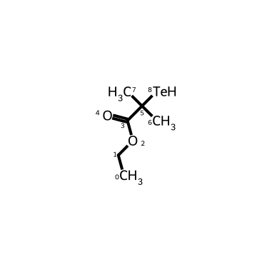 CCOC(=O)C(C)(C)[TeH]